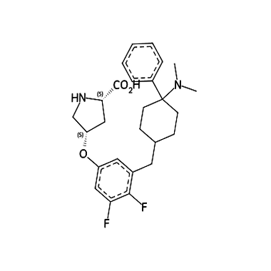 CN(C)C1(c2ccccc2)CCC(Cc2cc(O[C@@H]3CN[C@H](C(=O)O)C3)cc(F)c2F)CC1